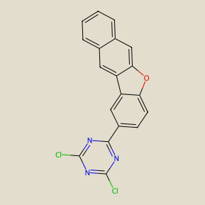 Clc1nc(Cl)nc(-c2ccc3oc4cc5ccccc5cc4c3c2)n1